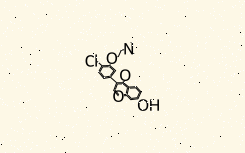 CN(C)CCOc1cc(-c2coc3cc(O)ccc3c2=O)ccc1Cl